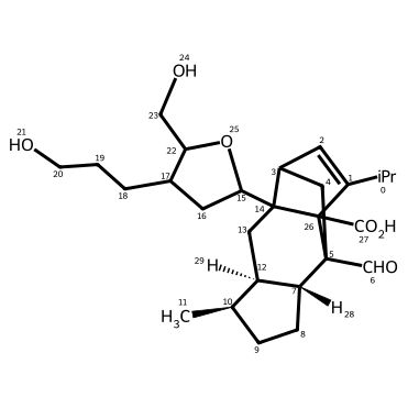 CC(C)C1=CC2CC3(C=O)[C@@H]4CC[C@@H](C)[C@H]4CC2(C2CC(CCCO)C(CO)O2)C13C(=O)O